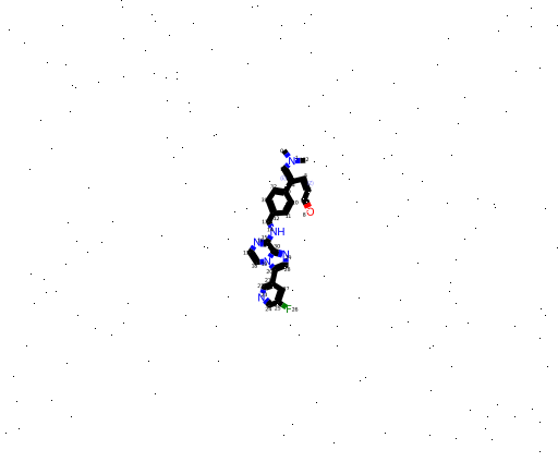 CN(C)/C=C(\C=C/C=O)c1ccc(CNc2nccn3c(-c4cncc(F)c4)cnc23)cc1